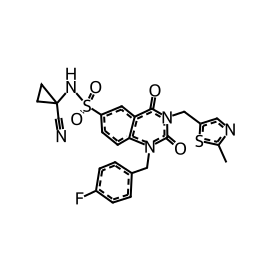 Cc1ncc(Cn2c(=O)c3cc(S(=O)(=O)NC4(C#N)CC4)ccc3n(Cc3ccc(F)cc3)c2=O)s1